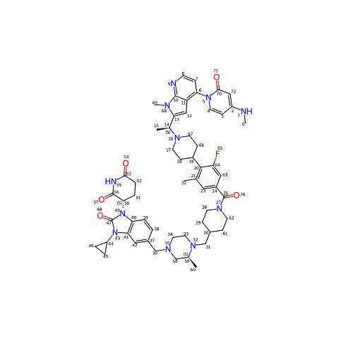 CNc1ccn(-c2ccnc3c2cc([C@H](C)N2CCC(c4c(C)cc(C(=O)N5CCC(CN6CCN(Cc7ccc8c(c7)n(C7CC7)c(=O)n8[C@H]7CCC(=O)NC7=O)C[C@@H]6C)CC5)cc4F)CC2)n3C)c(=O)c1